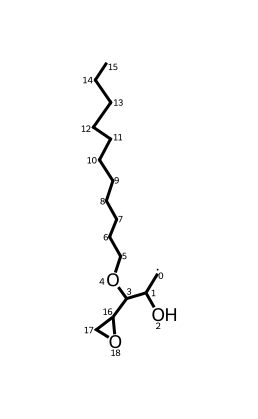 [CH2]C(O)C(OCCCCCCCCCCC)C1CO1